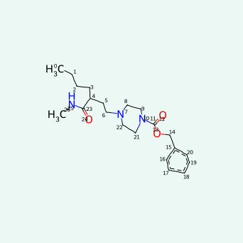 CCCCC(CCN1CCN(C(=O)OCc2ccccc2)CC1)C(=O)NC